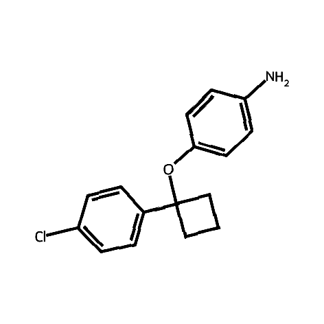 Nc1ccc(OC2(c3ccc(Cl)cc3)CCC2)cc1